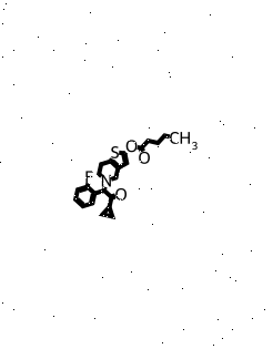 CCCCC(=O)Oc1cc2c(s1)CCN(C(C(=O)C1CC1)c1ccccc1F)C2